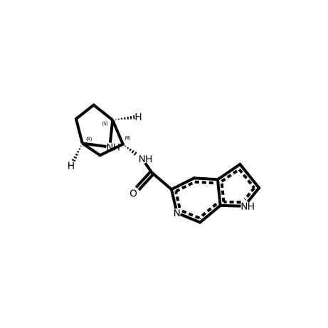 O=C(N[C@@H]1C[C@H]2CC[C@@H]1N2)c1cc2cc[nH]c2cn1